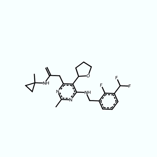 C=C(Cc1nc(C)nc(NCc2cccc(C(F)F)c2F)c1C1CCCO1)NC1(C)CC1